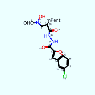 CCCCC[C@H](CN(O)C=O)C(=O)NNC(=O)c1cc2cc(Cl)ccc2o1